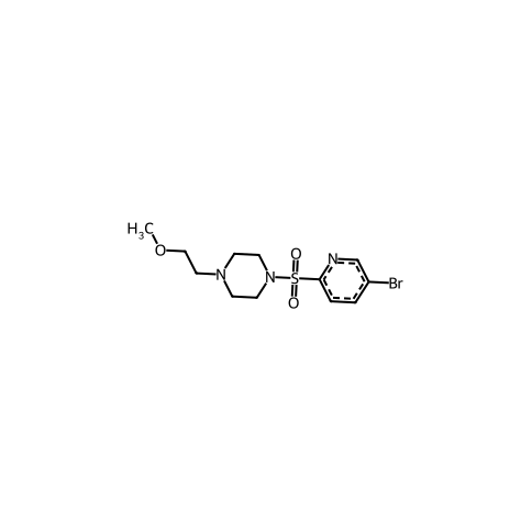 COCCN1CCN(S(=O)(=O)c2ccc(Br)cn2)CC1